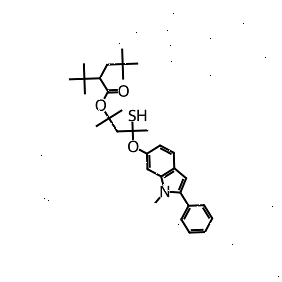 Cn1c(-c2ccccc2)cc2ccc(OC(C)(S)CC(C)(C)OC(=O)C(CC(C)(C)C)C(C)(C)C)cc21